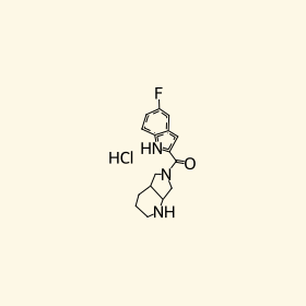 Cl.O=C(c1cc2cc(F)ccc2[nH]1)N1CC2CCCNC2C1